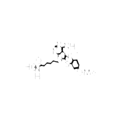 COc1ccc(I)c(Sc2nc3c(N)ncnc3n2CCCCCC(=O)NO)c1